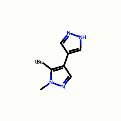 Cn1ncc(-c2cn[nH]c2)c1C(C)(C)C